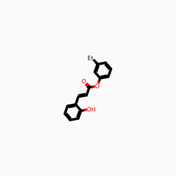 CCc1cccc(OC(=O)C=Cc2ccccc2O)c1